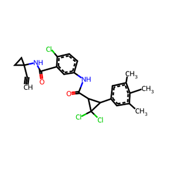 C#CC1(NC(=O)c2cc(NC(=O)C3C(c4cc(C)c(C)c(C)c4)C3(Cl)Cl)ccc2Cl)CC1